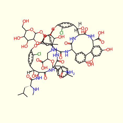 CN[C@H](CC(C)C)C(=O)NC1C(=O)N[C@@H](CC(N)=O)C(=O)NC2C(=O)NC3C(=O)N[C@H](C(=O)N[C@@H](C(=O)O)c4cc(O)cc(O)c4-c4cc3ccc4O)[C@H](O)c3ccc(c(Cl)c3)Oc3cc2cc(c3OC2OC(CO)C(O)C(O)C2OC2CC(C)(NCC(OCc3ccc(C)cc3)C(=O)O)C(O)C(C)O2)Oc2ccc(cc2Cl)[C@H]1O